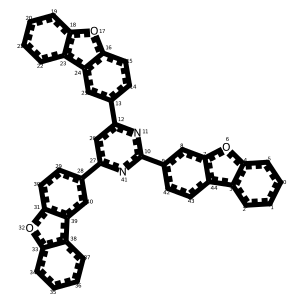 c1ccc2c(c1)oc1cc(-c3nc(-c4ccc5oc6ccccc6c5c4)cc(-c4ccc5oc6ccccc6c5c4)n3)ccc12